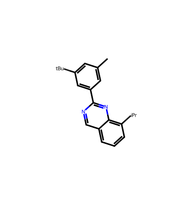 Cc1cc(-c2ncc3cccc(C(C)C)c3n2)cc(C(C)(C)C)c1